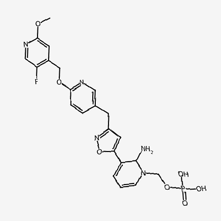 COc1cc(COc2ccc(Cc3cc(C4=CC=CN(COP(=O)(O)O)C4N)on3)cn2)c(F)cn1